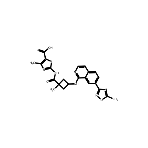 Cc1nc(-c2ccc3ccnc(NC4CC(C)(C(=O)Nc5nc(C)c(C(=O)O)s5)C4)c3c2)no1